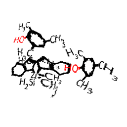 CC1=CC2=C(CCCC2)[CH]1[Zr]([CH3])([CH3])(=[SiH2])[CH]1C(C)=CC2=C1CCCC2.Cc1cc(C)c(O)c(C)c1.Cc1cc(C)c(O)c(C)c1